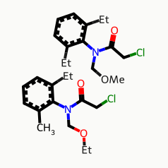 CCOCN(C(=O)CCl)c1c(C)cccc1CC.CCc1cccc(CC)c1N(COC)C(=O)CCl